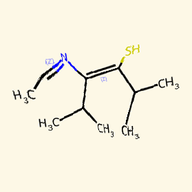 C/C=N\C(=C(/S)C(C)C)C(C)C